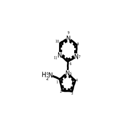 Nc1cccn1-c1ncncn1